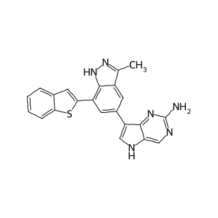 Cc1n[nH]c2c(-c3cc4ccccc4s3)cc(-c3c[nH]c4cnc(N)nc34)cc12